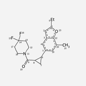 CCc1cc2cc(C3CC3C(=O)N3CCC(F)(F)CC3)cc(C)c2o1